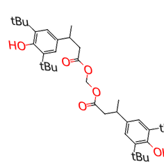 CC(CC(=O)OCOC(=O)CC(C)c1cc(C(C)(C)C)c(O)c(C(C)(C)C)c1)c1cc(C(C)(C)C)c(O)c(C(C)(C)C)c1